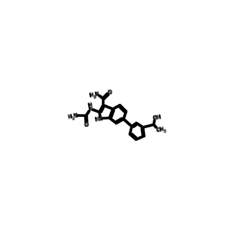 CC(O)c1cccc(-c2ccc3c(C(N)=O)c(NC(N)=O)[nH]c3c2)c1